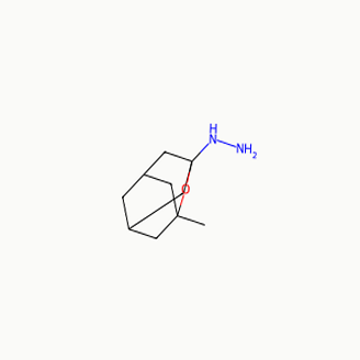 CC12CC3CC(C1)CC(NN)(C3)O2